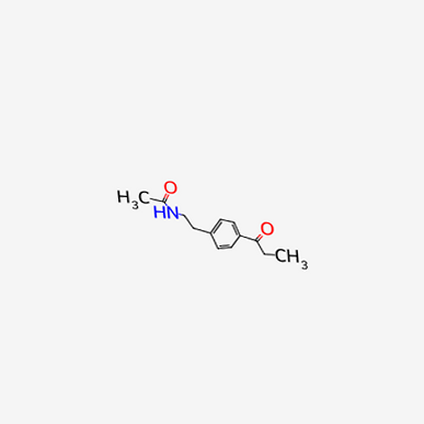 CCC(=O)c1ccc(CCNC(C)=O)cc1